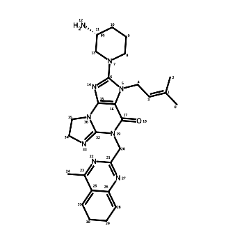 CC(C)=CCn1c(N2CCC[C@@H](N)C2)nc2c1C(=O)N(Cc1nc(C)c3c(n1)=CCCC=3)C1=NCCN12